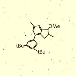 COC1c2cc(C)cc(-c3cc(C(C)(C)C)cc(C(C)(C)C)c3)c2CC1C